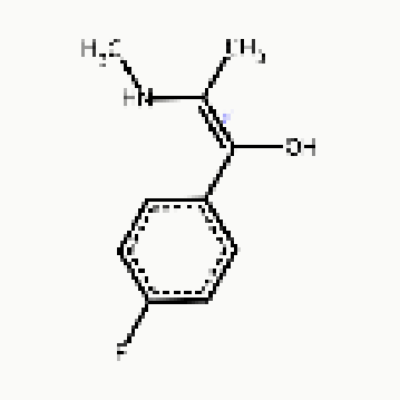 CN/C(C)=C(/O)c1ccc(F)cc1